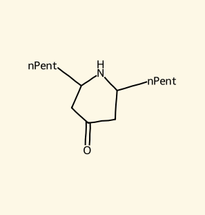 CCCCCC1CC(=O)CC(CCCCC)N1